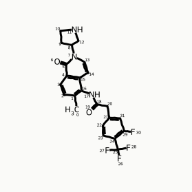 Cc1ccc2c(=O)n(C3CCNC3)ccc2c1NC(=O)Cc1ccc(C(F)(F)F)c(F)c1